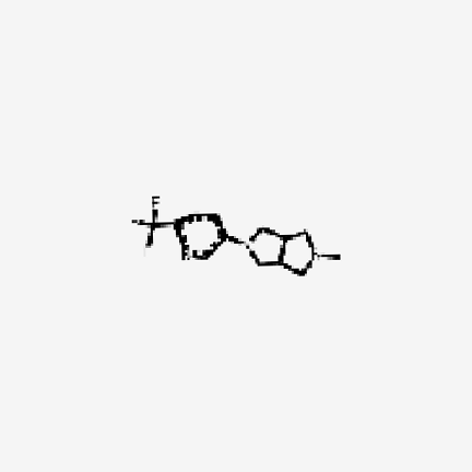 CN1CC2CN(c3ccc(C(F)(F)F)nc3)CC2C1